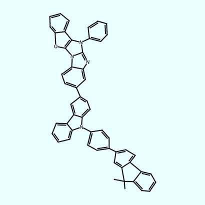 CC1(C)c2ccccc2-c2ccc(-c3ccc(-n4c5ccccc5c5cc(-c6ccc7c(c6)nc6n(-c8ccccc8)c8c9ccccc9oc8n76)ccc54)cc3)cc21